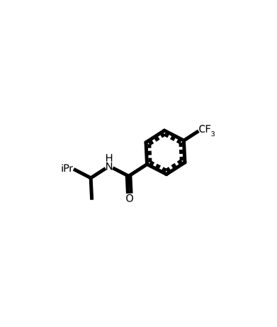 CC(C)C(C)NC(=O)c1ccc(C(F)(F)F)cc1